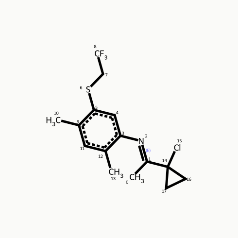 C/C(=N\c1cc(SCC(F)(F)F)c(C)cc1C)C1(Cl)CC1